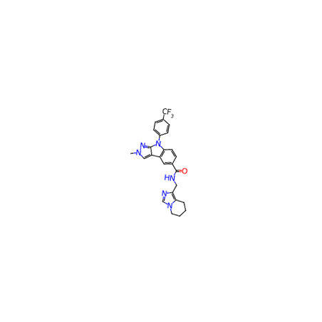 Cn1cc2c3cc(C(=O)NCc4ncn5c4CCCC5)ccc3n(-c3ccc(C(F)(F)F)cc3)c2n1